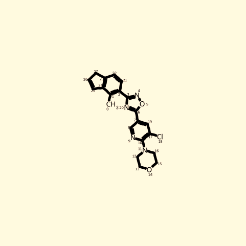 Cc1c(-c2noc(-c3cnc(N4CCOCC4)c(Cl)c3)n2)ccc2c1C=CC2